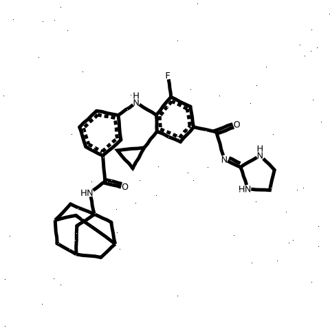 O=C(N=C1NCCN1)c1cc(F)c(Nc2cccc(C(=O)NC34CC5CC(CC(C5)C3)C4)c2)c(C2CC2)c1